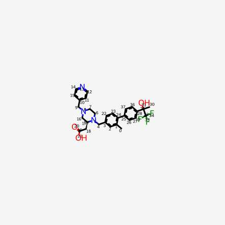 Cc1cc(CN2CCN(Cc3ccncc3)C[C@@H]2CC(=O)O)ccc1-c1ccc(C(C)(O)C(F)(F)F)cc1